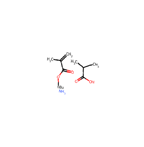 C=C(C)C(=O)OCCCC.CC(C)C(=O)O.N